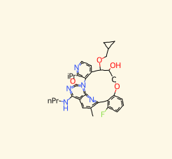 CCCNc1nc(=O)n2c3nc(c(C)cc13)-c1c(F)cccc1OCC(O)C(OCC1CC1)c1ccnc(C(C)C)c1-2